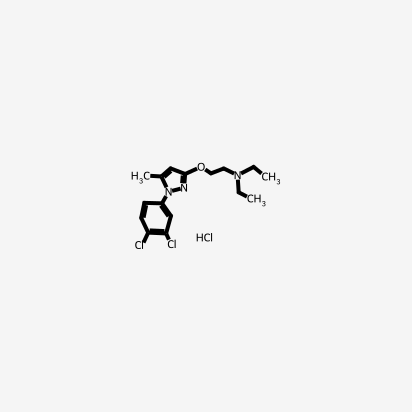 CCN(CC)CCOc1cc(C)n(-c2ccc(Cl)c(Cl)c2)n1.Cl